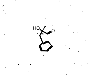 C[C@@](O)(C=O)Cc1ccccc1